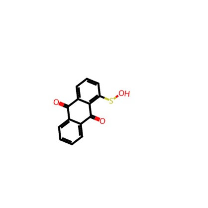 O=C1c2ccccc2C(=O)c2c(SO)cccc21